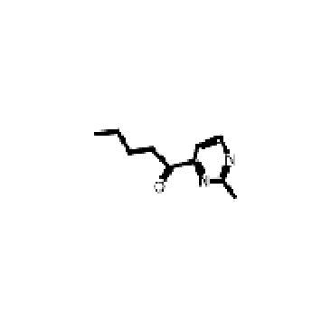 CCCCC(=O)c1ccnc(C)n1